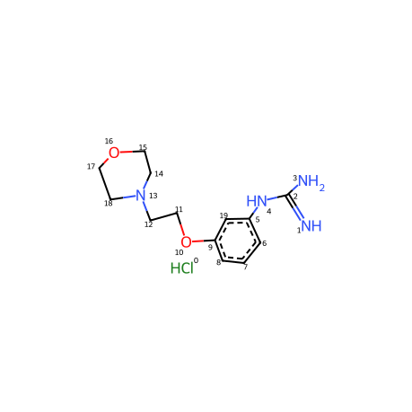 Cl.N=C(N)Nc1cccc(OCCN2CCOCC2)c1